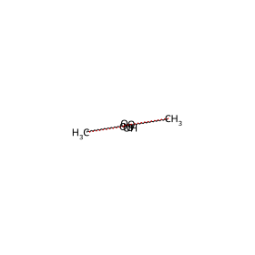 CCCCCCCCCCCCCCCCCCCCCCOC(=O)CC(O)C(=O)OCCCCCCCCCCCCCCCCCCCCCC